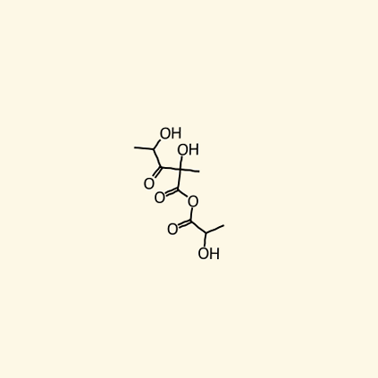 CC(O)C(=O)OC(=O)C(C)(O)C(=O)C(C)O